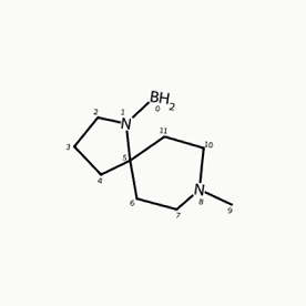 BN1CCCC12CCN(C)CC2